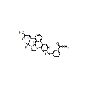 NC(=O)c1cccc(Nc2ncc(-c3cccc(/C=C/C(=O)O)c3)c(N3C=CC(C(F)(F)F)N3)n2)c1